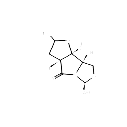 CC1C[C@H]2C(=O)N3[C@H](C(C)(C)C)OC[C@@]3(C=O)[C@@]2(C)O1